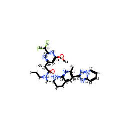 CCCN(C[C@H]1CCc2cc(-c3nc4ccccn4n3)c(C)nc2N1)C(=O)[C@H](C)c1cc(OC)nc(C(F)F)n1